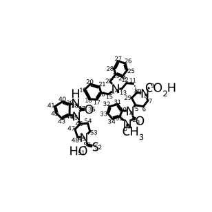 Cn1c(=O)n(C2CCN(C(=O)O)[C@@H](CCCN(Cc3ccccc3)Cc3ccccc3)C2)c2ccccc21.O=c1[nH]c2ccccc2n1C1CCN(C(O)=S)CC1